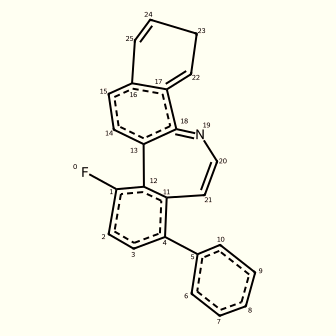 Fc1ccc(-c2ccccc2)c2c1-c1ccc3c(c1=NC=C2)=CCC=C3